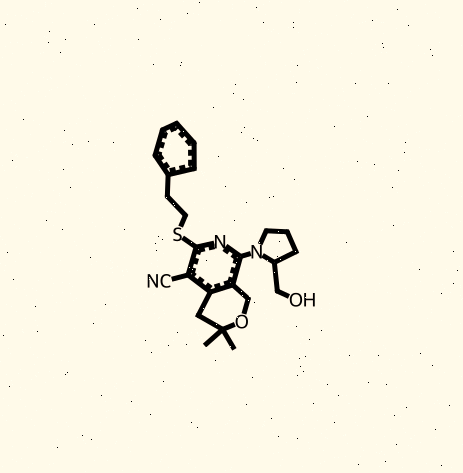 CC1(C)Cc2c(C#N)c(SCCc3ccccc3)nc(N3CCCC3CO)c2CO1